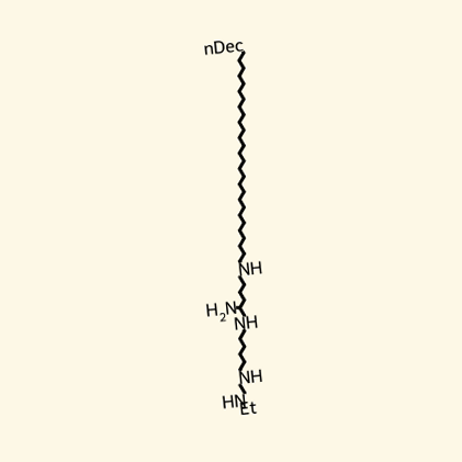 CCCCCCCCCCCCCCCCCCCCCCCCCCCCCCCCCCCCCCNCCCCC(N)CNCCCCCCNCCNCC